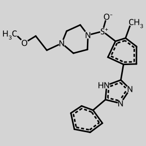 COCCN1CCN([S+]([O-])c2cc(-c3nnc(-c4ccccc4)[nH]3)ccc2C)CC1